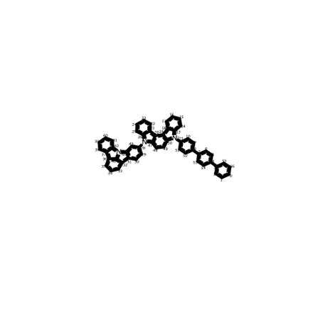 c1ccc(-c2ccc(-c3ccc(-n4c5ccccc5c5c6c7ccccc7n(-c7ccc8c9cccc%10c%11ccccc%11n(c8c7)c%109)c6ccc54)cc3)cc2)cc1